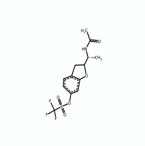 CC(=O)N[C@H](C)C1Cc2ccc(OS(=O)(=O)C(F)(F)F)cc2O1